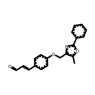 Cc1oc(-c2ccccc2)nc1COc1ccc(C=CC=O)cc1